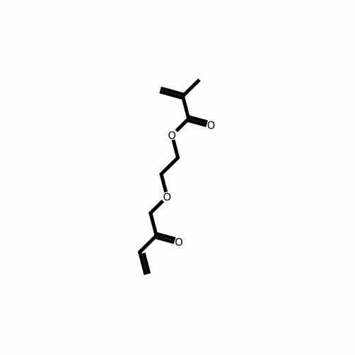 C=CC(=O)COCCOC(=O)C(=C)C